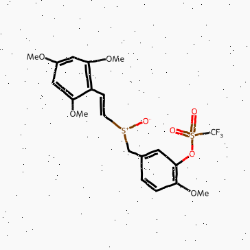 COc1cc(OC)c(C=C[S+]([O-])Cc2ccc(OC)c(OS(=O)(=O)C(F)(F)F)c2)c(OC)c1